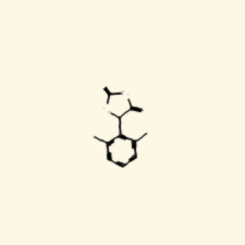 Cc1cccc(C)c1C1NC(=O)NC1=O